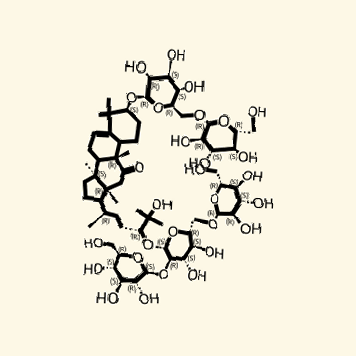 C[C@H](CC[C@@H](O[C@@H]1O[C@H](CO[C@@H]2O[C@H](CO)[C@@H](O)[C@H](O)[C@H]2O)[C@@H](O)[C@H](O)[C@H]1O[C@@H]1O[C@H](CO)[C@@H](O)[C@H](O)[C@H]1O)C(C)(C)O)C1CC[C@@]2(C)C3CC=C4C(CC[C@H](O[C@@H]5O[C@H](CO[C@@H]6O[C@H](CO)[C@@H](O)[C@H](O)[C@H]6O)[C@@H](O)[C@H](O)[C@H]5O)C4(C)C)[C@]3(C)C(=O)C[C@]12C